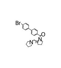 O=C(c1ccc(-c2ccc(Br)cc2)cc1)N1CCC[C@H]1CN1CCCC1